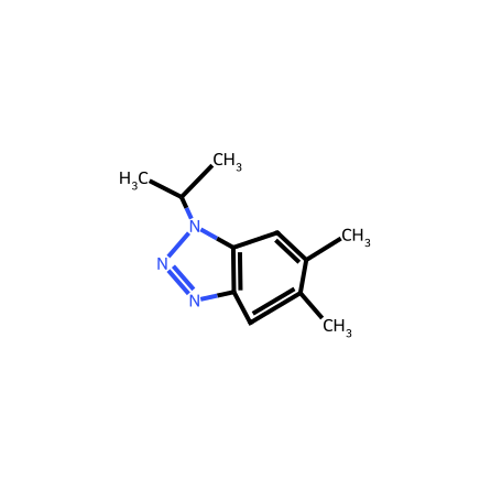 Cc1cc2nnn(C(C)C)c2cc1C